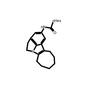 CCCCCCC(=O)Nc1cc2c3c(c1)c1c(n3CC2)CCCCCC1